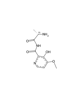 COc1ccnc(C(=O)NC(=O)[C@H](C)N)c1O